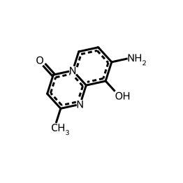 Cc1cc(=O)n2ccc(N)c(O)c2n1